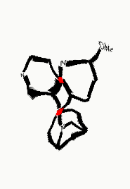 COc1ccc(CN2C3CC2CN(c2cccnc2)C3)cn1